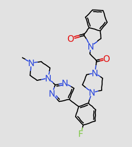 CN1CCN(c2ncc(-c3cc(F)ccc3N3CCN(C(=O)CN4Cc5ccccc5C4=O)CC3)cn2)CC1